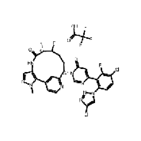 C[C@H]1C(=O)Nc2cnn(C)c2-c2ccnc(c2)[C@@H](n2cnc(-c3c(-n4cc(Cl)nn4)ccc(Cl)c3F)cc2=O)CCC1F.O=C(O)C(F)(F)F